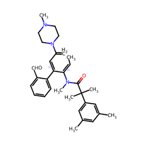 C=C(/C=C(\C(=C/C)N(C)C(=O)C(C)(C)c1cc(C)cc(C)c1)c1ccccc1C=O)N1CCN(C)CC1